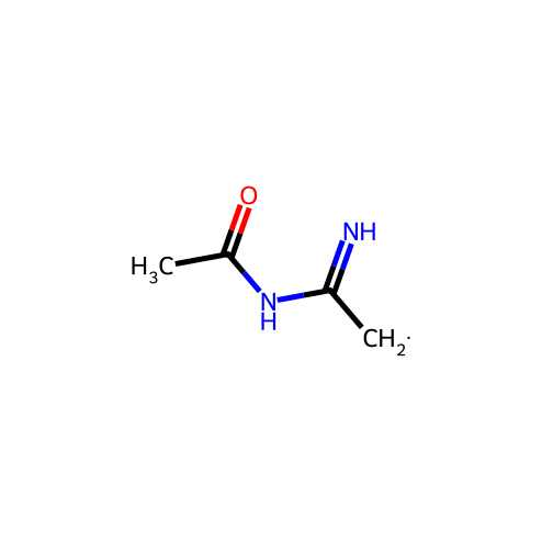 [CH2]C(=N)NC(C)=O